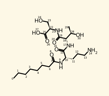 CCCCCCCC(=O)N[C@@H](CCCN)C(=O)N[C@H](C(=O)N[C@H](CO)C(=O)O)[C@@H](C)O